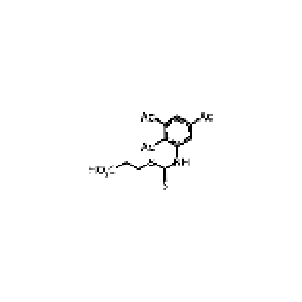 CC(=O)c1cc(NC(=S)SCCC(=O)O)c(C(C)=O)c(C(C)=O)c1